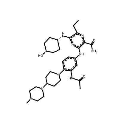 CCc1nc(C(N)=O)c(Nc2ccc(N3CCC(N4CCN(C)CC4)CC3)c(NC(C)=O)c2)nc1N[C@H]1CC[C@H](O)CC1